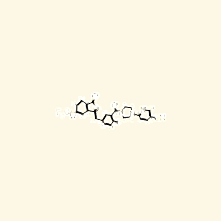 N#Cc1ccc(N2CCN(C(=O)c3cc(C=C4OC(=O)c5ccc(OC(F)(F)F)cc54)ccc3F)CC2)nc1